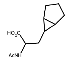 CC(=O)NC(CC1C2CCCC21)C(=O)O